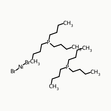 CCCCP(CCCC)CCCC.CCCCP(CCCC)CCCC.[Br][Ni][Br]